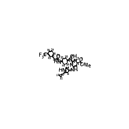 COC(=O)c1cc(Nc2cc(C3CC3)[nH]n2)nc(N(C)C2CCC(NC(=O)Cc3cccc(C(F)(F)F)c3)CC2)n1